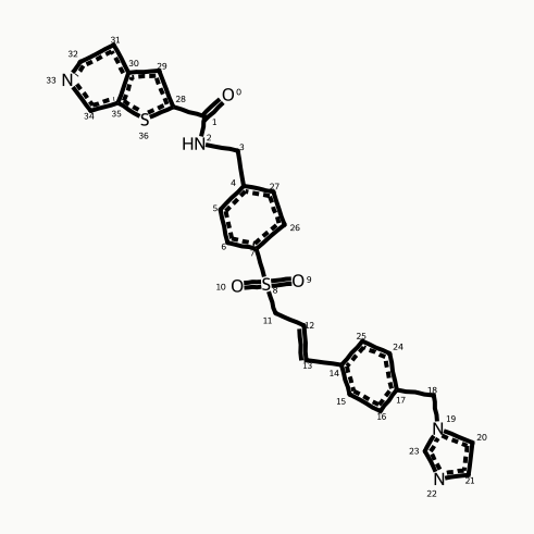 O=C(NCc1ccc(S(=O)(=O)CC=Cc2ccc(Cn3ccnc3)cc2)cc1)c1cc2ccncc2s1